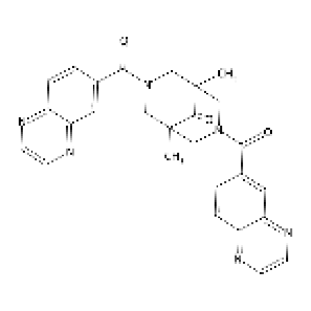 CC12CN(C(=O)c3ccc4nccnc4c3)CC(C)(CN(C(=O)c3ccc4nccnc4c3)C1)C2=O